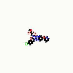 COC(=O)[C@@H](C)Cn1c(=O)[nH]/c(=N\c2ccc(Oc3ccccn3)cc2)n(Cc2ccc(Cl)cc2)c1=O